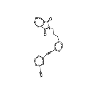 N#Cc1cccc(C#Cc2cccc(CCCN3C(=O)c4ccccc4C3=O)c2)c1